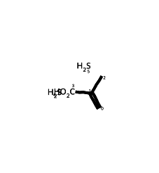 C=C(C)C(=O)O.S.S